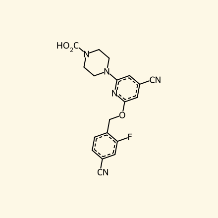 N#Cc1cc(OCc2ccc(C#N)cc2F)nc(N2CCN(C(=O)O)CC2)c1